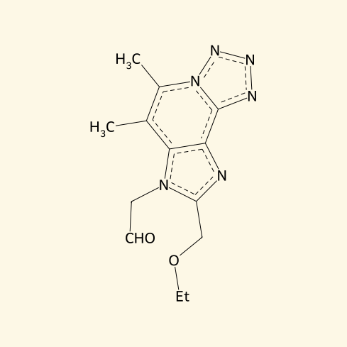 CCOCc1nc2c(c(C)c(C)n3nnnc23)n1CC=O